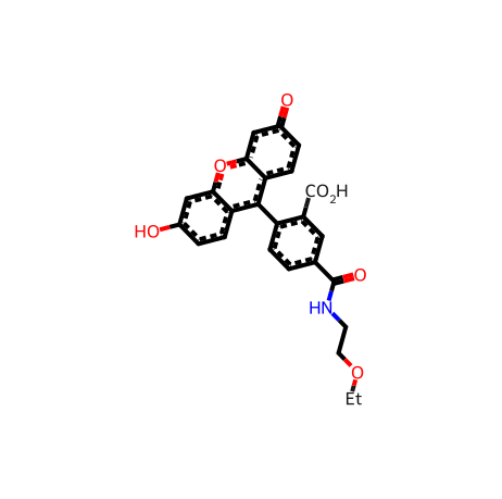 CCOCCNC(=O)c1ccc(-c2c3ccc(=O)cc-3oc3cc(O)ccc23)c(C(=O)O)c1